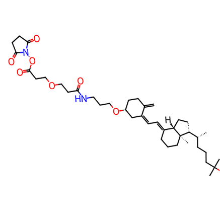 C=C1CC[C@H](OCCCNC(=O)CCOCCC(=O)ON2C(=O)CCC2=O)C/C1=C/C=C1\CCC[C@]2(C)[C@@H]([C@H](C)CCCC(C)(C)O)CC[C@@H]12